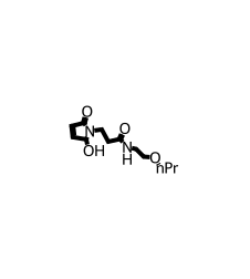 CCCOCCNC(=O)CCN1C(=O)C=CC1O